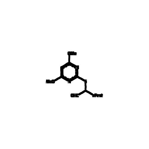 CCCCCC(C=O)Sc1nc(OC)cc(OC)n1